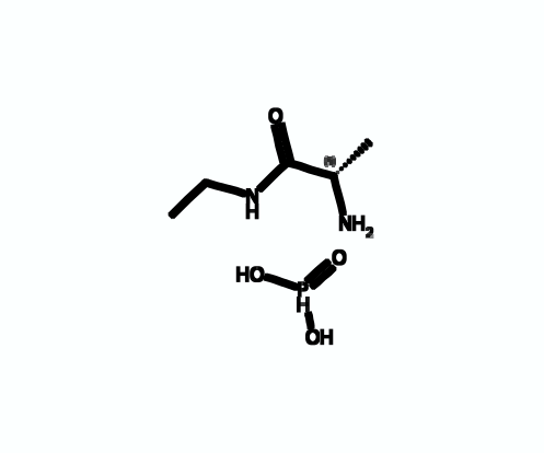 CCNC(=O)[C@H](C)N.O=[PH](O)O